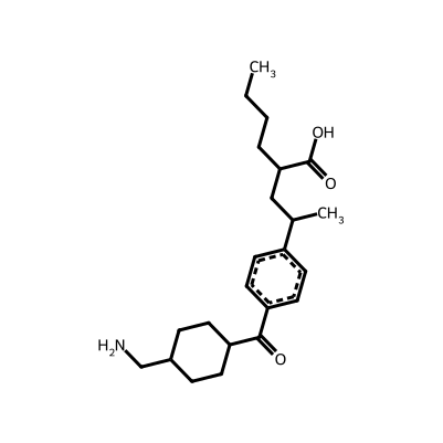 CCCCC(CC(C)c1ccc(C(=O)C2CCC(CN)CC2)cc1)C(=O)O